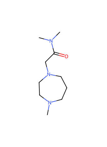 CN1CCCN(CC(=O)N(C)C)CC1